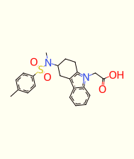 Cc1ccc(S(=O)(=O)N(C)C2CCc3c(c4ccccc4n3CC(=O)O)C2)cc1